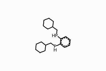 c1ccc(PCC2CCCCC2)c(PCC2CCCCC2)c1